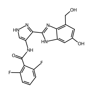 O=C(Nc1c[nH]nc1-c1nc2c(CO)cc(O)cc2[nH]1)c1c(F)cccc1F